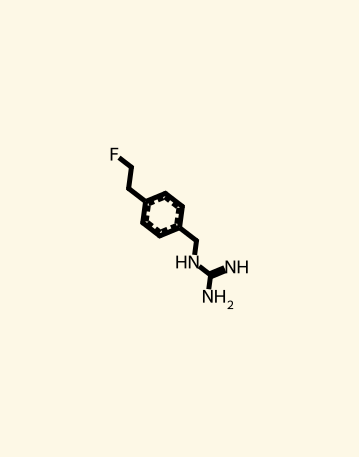 N=C(N)NCc1ccc(CCF)cc1